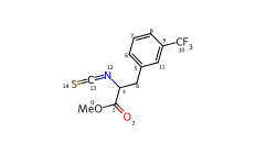 COC(=O)C(Cc1cccc(C(F)(F)F)c1)N=C=S